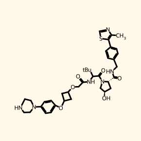 Cc1ncsc1-c1ccc(CNC(=O)[C@@H]2C[C@@H](O)CN2C(=O)C(NC(=O)COC2CC(Oc3ccc(N4CCNCC4)cc3)C2)C(C)(C)C)cc1